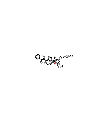 COCCON1C[C@]2(CO)O[C@@H](n3cnc4c(NC(=O)c5ccccc5)ncnc43)[C@H]1[C@@H]2O